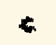 CC(C)[C@H](NC(=O)c1ccc(COc2cccc([C@@H](NC(=O)O[C@H](C)CI)c3ccccc3)c2)cc1)C(=O)OCCCCNC[C@H](O)c1ccc(O)c2[nH]c(=O)ccc12